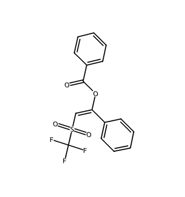 O=C(O/C(=C/S(=O)(=O)C(F)(F)F)c1ccccc1)c1ccccc1